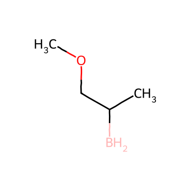 BC(C)COC